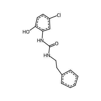 O=C(NCCc1ccccc1)Nc1cc(Cl)ccc1O